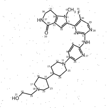 Cn1c(-c2nc(Nc3ccc(N4CCC(C5CCN(CCO)CC5)CC4)cn3)ncc2F)cc2c1CCNC2=O